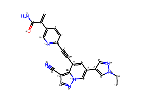 C=C(C(N)=O)c1ccc(C#Cc2cc(-c3cnn(CC)c3)cn3ncc(C#N)c23)nc1